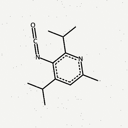 [CH2]c1cc(C(C)C)c(N=C=O)c(C(C)C)n1